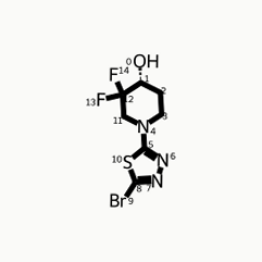 O[C@@H]1CCN(c2nnc(Br)s2)CC1(F)F